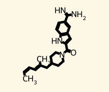 C/C=C\C=C(/C)CC1CCN(C(=O)c2cc3cc(C(=N)N)ccc3[nH]2)CC1